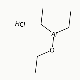 CC[O][Al]([CH2]C)[CH2]C.Cl